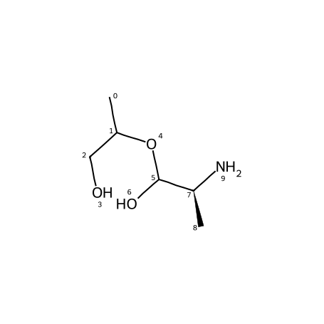 CC(CO)OC(O)[C@H](C)N